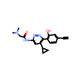 C#Cc1ccc(-c2nnc(NC(=O)CN(C)C)cc2C2CC2)c(O)c1